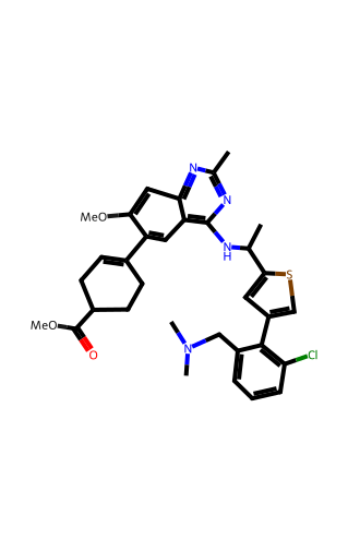 COC(=O)C1CC=C(c2cc3c(NC(C)c4cc(-c5c(Cl)cccc5CN(C)C)cs4)nc(C)nc3cc2OC)CC1